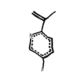 C=C(C)c1ccc(F)cn1